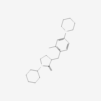 O=C1C(Cc2ccc(N3CCCCC3)cc2Cl)CCN1C1CCCCC1